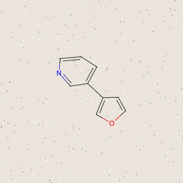 [c]1ccc(-c2ccoc2)cn1